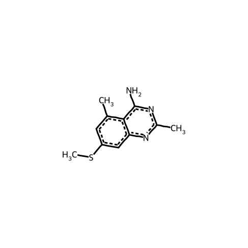 CSc1cc(C)c2c(N)nc(C)nc2c1